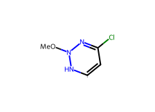 CON1N=C(Cl)C=[C]N1